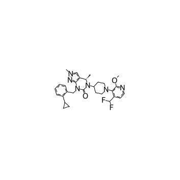 COc1nccc(C(F)F)c1N1CCC(N2C(=O)N(Cc3ccccc3C3CC3)c3nn(C)cc3[C@H]2C)CC1